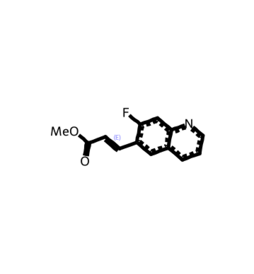 COC(=O)/C=C/c1cc2cccnc2cc1F